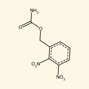 NC(=O)OCc1cccc([N+](=O)[O-])c1[N+](=O)[O-]